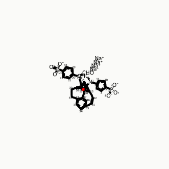 O=CN(c1ccc(P(=O)([O-])[O-])cc1)c1c2c3c4c(c1N(C=O)c1ccc(P(=O)([O-])[O-])cc1)CCc1ccc(cc1C4C=C3)C=C2.[Na+].[Na+].[Na+].[Na+]